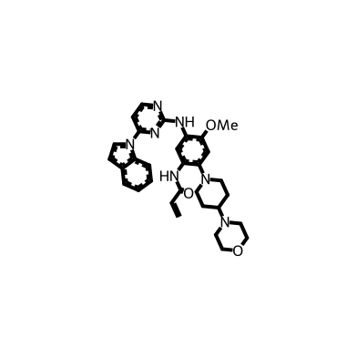 C=CC(=O)Nc1cc(Nc2nccc(-n3ccc4ccccc43)n2)c(OC)cc1N1CCC(N2CCOCC2)CC1